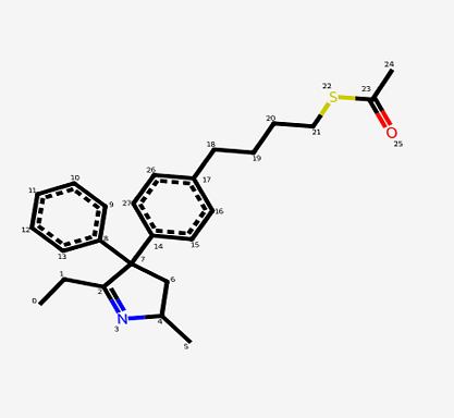 CCC1=NC(C)CC1(c1ccccc1)c1ccc(CCCCSC(C)=O)cc1